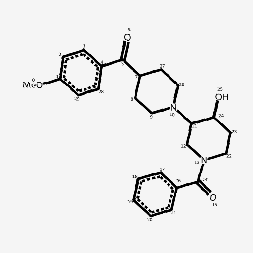 COc1ccc(C(=O)C2CCN(C3CN(C(=O)c4ccccc4)CCC3O)CC2)cc1